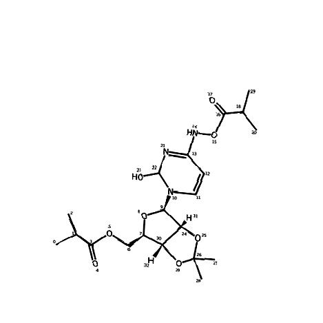 CC(C)C(=O)OC[C@H]1O[C@@H](N2C=CC(NOC(=O)C(C)C)=NC2O)[C@@H]2OC(C)(C)O[C@@H]21